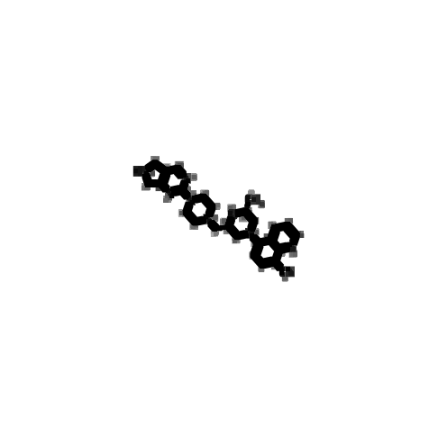 C[C@@H]1CN(c2ccc(C#N)c3ncccc23)C[C@H](CN2CCN(c3ncc4c(n3)CNC4)CC2)O1